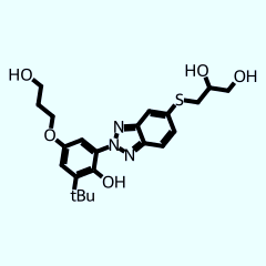 CC(C)(C)c1cc(OCCCO)cc(-n2nc3ccc(SCC(O)CO)cc3n2)c1O